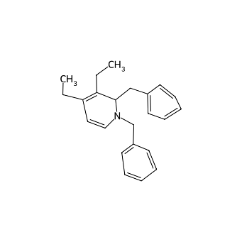 CCC1=C(CC)C(Cc2ccccc2)N(Cc2ccccc2)C=C1